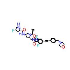 O=C(NC[C@H]1C[C@@H](NC(=O)[C@@H]2C[C@H](F)CN2)CN1C(=O)C1CC1)c1c(F)cc(C#Cc2ccc(CN3CCOCC3)cc2)cc1F